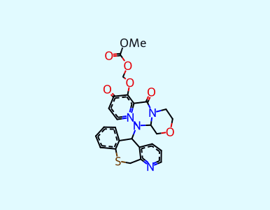 COC(=O)OCOc1c2n(ccc1=O)N(C1c3ccccc3SCc3ncccc31)C1COCCN1C2=O